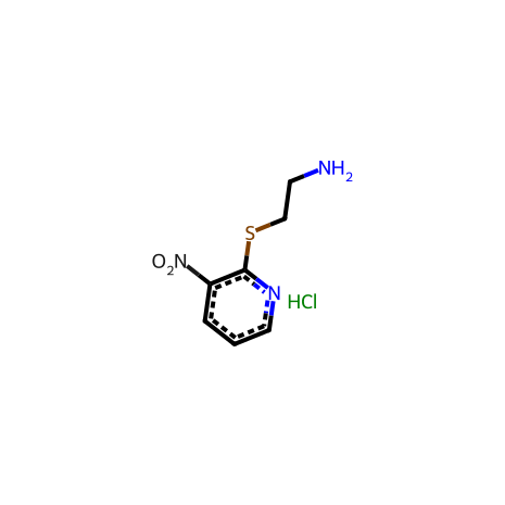 Cl.NCCSc1ncccc1[N+](=O)[O-]